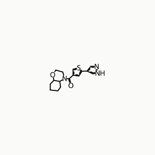 O=C(c1csc(-c2cn[nH]c2)c1)N1CCOC2CCCCC21